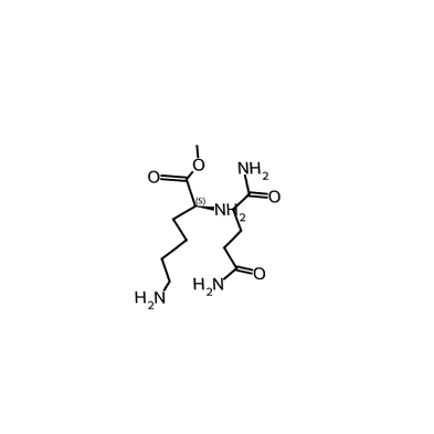 COC(=O)[C@@H](N)CCCCN.NC(=O)CCCC(N)=O